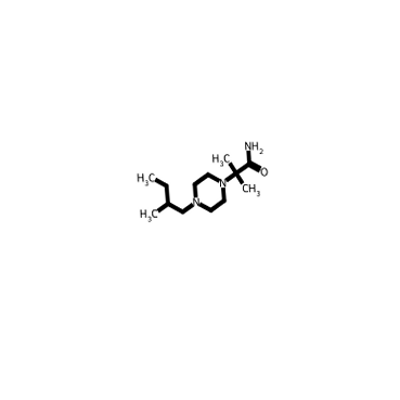 CCC(C)CN1CCN(C(C)(C)C(N)=O)CC1